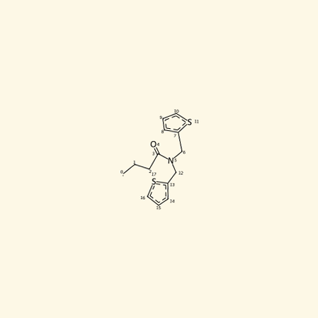 [CH2]CCC(=O)N(Cc1cccs1)Cc1cccs1